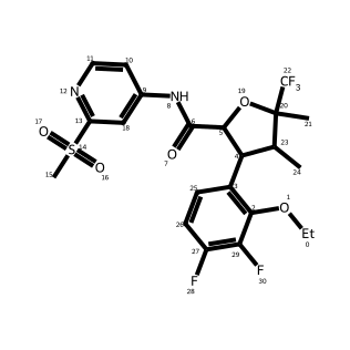 CCOc1c(C2C(C(=O)Nc3ccnc(S(C)(=O)=O)c3)OC(C)(C(F)(F)F)C2C)ccc(F)c1F